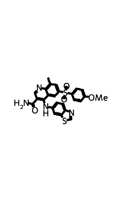 COc1ccc(S(=O)(=O)c2cc(C)c3ncc(C(N)=O)c(Nc4ccc5ncsc5c4)c3c2)cc1